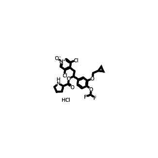 Cl.O=C(OC(Cc1c(Cl)c[n+]([O-])cc1Cl)c1ccc(OC(F)F)c(OCC2CC2)c1)C1CCCN1